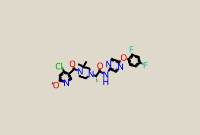 COc1cc(Cl)c(C(=O)N2CCN([C@@H](C)C(=O)Nc3cnc(Oc4ccc(F)cc4F)cn3)CC2(C)C)cn1